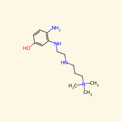 C[N+](C)(C)CCCNCCNc1cc(O)ccc1N